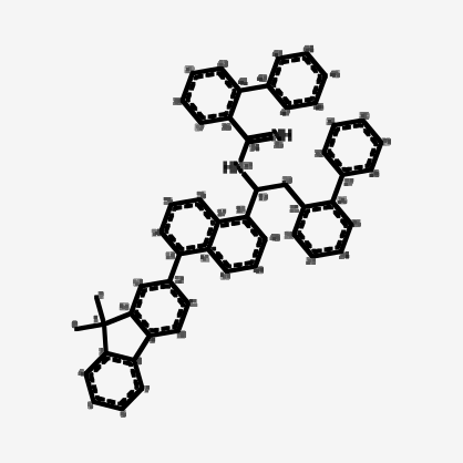 CC1(C)c2ccccc2-c2ccc(-c3cccc4c(C(Cc5ccccc5-c5ccccc5)NC(=N)c5ccccc5-c5ccccc5)cccc34)cc21